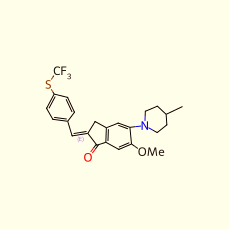 COc1cc2c(cc1N1CCC(C)CC1)C/C(=C\c1ccc(SC(F)(F)F)cc1)C2=O